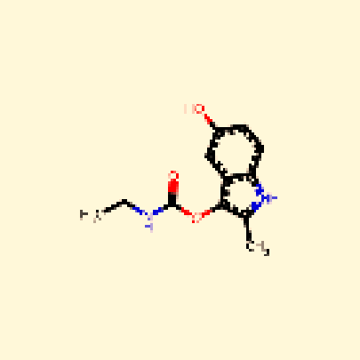 CCNC(=O)Oc1c(C)[nH]c2ccc(O)cc12